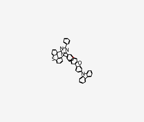 c1ccc(-c2nc(-c3ccccc3)nc(-c3cccc4sc5cccc(CCCc6ccc7oc8cc(-n9c%10ccccc%10c%10ccccc%109)ccc8c7c6)c5c34)n2)cc1